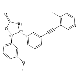 COc1cccc([C@H]2OC(=O)N[C@@H]2c2cccc(C#Cc3cnccc3C)c2)c1